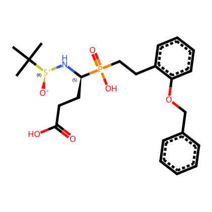 CC(C)(C)[S@+]([O-])N[C@H](CCC(=O)O)P(=O)(O)CCc1ccccc1OCc1ccccc1